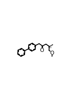 COC[C@H](C)CC(=O)Cc1ccc(-c2ccccc2)cc1